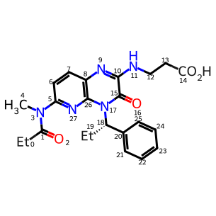 CCC(=O)N(C)c1ccc2nc(NCCC(=O)O)c(=O)n([C@@H](CC)c3ccccc3)c2n1